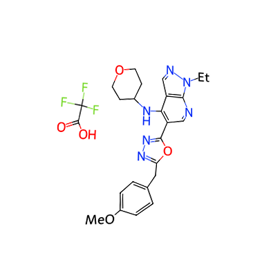 CCn1ncc2c(NC3CCOCC3)c(-c3nnc(Cc4ccc(OC)cc4)o3)cnc21.O=C(O)C(F)(F)F